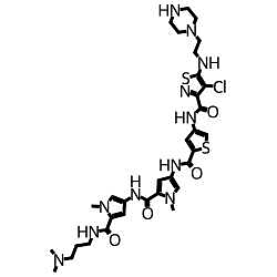 CN(C)CCCNC(=O)c1cc(NC(=O)c2cc(NC(=O)c3cc(NC(=O)c4nsc(NCCN5CCNCC5)c4Cl)cs3)cn2C)cn1C